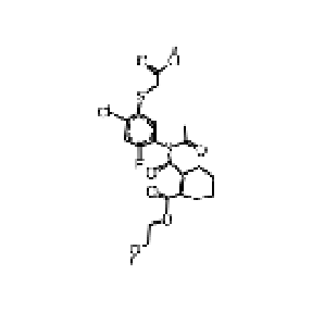 COCCOC(=O)C1=C(C(=O)N(C(C)=O)c2cc(SCC(=O)OC)c(Cl)cc2F)CCCC1